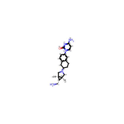 NC[C@@H]1[C@H]2CN(C3CCc4cc(-n5ccc(N)nc5=O)ccc4C3)C[C@@H]12